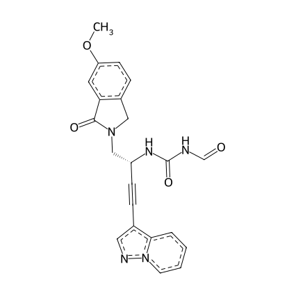 COc1ccc2c(c1)C(=O)N(C[C@@H](C#Cc1cnn3ccccc13)NC(=O)NC=O)C2